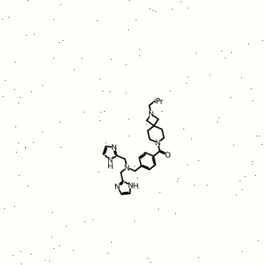 CC(C)CN1CC2(CCN(C(=O)c3ccc(CN(Cc4ncc[nH]4)Cc4ncc[nH]4)cc3)CC2)C1